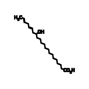 CC=CCC=CCC(O)CCCCCCCCCCCCCC(=O)O